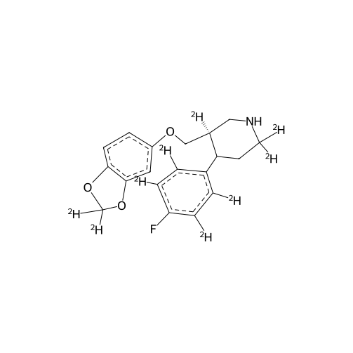 [2H]c1c([2H])c(C2CC([2H])([2H])NC[C@]2([2H])COc2ccc3c(c2)OC([2H])([2H])O3)c([2H])c([2H])c1F